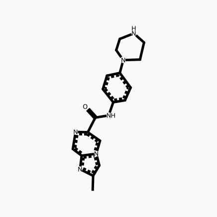 Cc1cn2cc(C(=O)Nc3ccc(N4CCNCC4)cc3)ncc2n1